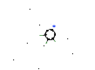 Clc1cccc(Cl)c1Cl.N#N